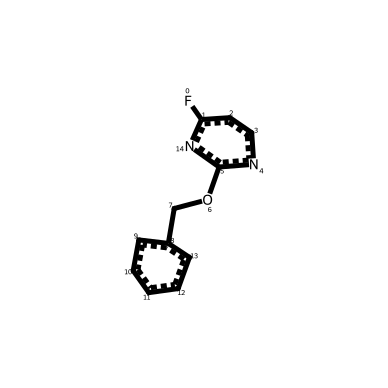 Fc1ccnc(OCc2ccccc2)n1